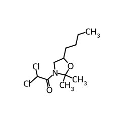 CCCCC1CN(C(=O)C(Cl)Cl)C(C)(C)O1